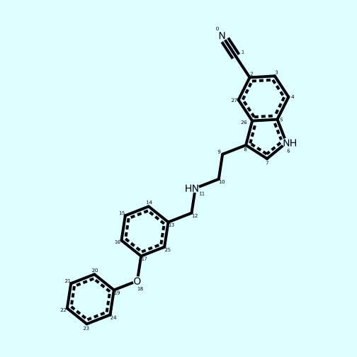 N#Cc1ccc2[nH]cc(CCNCc3cccc(Oc4ccccc4)c3)c2c1